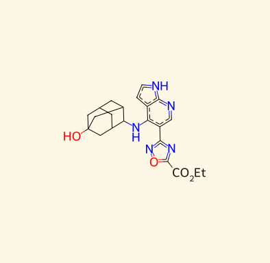 CCOC(=O)c1nc(-c2cnc3[nH]ccc3c2NC2C3CC4CC2CC(O)(C4)C3)no1